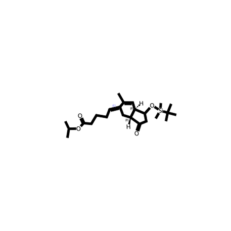 CC1=C[C@H]2C(O[Si](C)(C)C(C)(C)C)CC(=O)[C@@H]2C/C1=C\CCCC(=O)OC(C)C